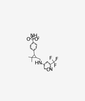 CC1(C)C(CNc2ccnc(C(F)(F)F)c2)C1c1ccc(S(N)(=O)=O)cc1